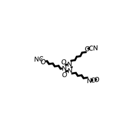 N#COCCCCCCN1CN(CCCCCCN=C=O)C(=O)N(CCCCCCOC#N)C1=O